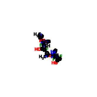 C#Cc1c(F)ccc2cc(O)cc(-c3ncc4c(N5CC6CCC(C5)N6)nc(OCC56CCC(c7cc8cc(O)cc(-c9ncc%10c(N%11CC%12CCC(C%11)N%12CCO)nc(OC[C@]%11%12CCC[C@H]%11N(C)CCC%12)nc%10c9F)c8c(C#C)c7F)CC5N(C)CC6)nc4c3F)c12